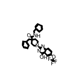 O=C(NCc1ccccc1)C1(Cc2ccccc2)CCN(c2nc(O)c3cc(OC(F)(F)F)ccc3n2)CC1